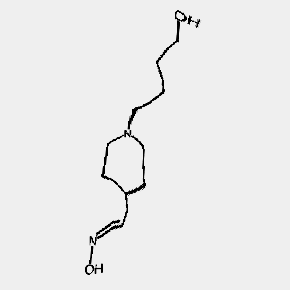 OCCCCN1CCC(C=NO)CC1